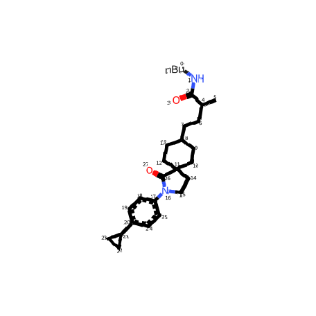 CCCCNC(=O)C(C)CCC1CCC2(CC1)CCN(c1ccc(C3CC3)cc1)C2=O